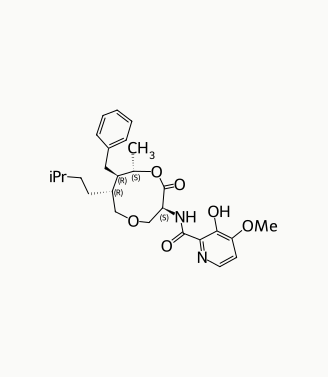 COc1ccnc(C(=O)N[C@H]2COC[C@H](CCC(C)C)[C@@H](Cc3ccccc3)[C@H](C)OC2=O)c1O